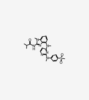 CC(C)C(=O)Nc1nc2c(N(C)c3ccnc(N(C)c4ccc(S(C)(=O)=O)cc4)n3)cccc2n1C